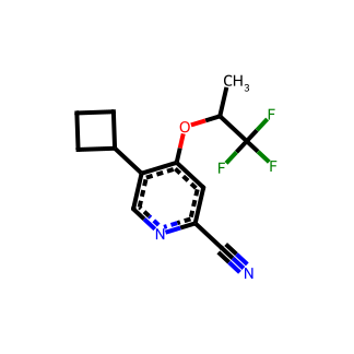 CC(Oc1cc(C#N)ncc1C1CCC1)C(F)(F)F